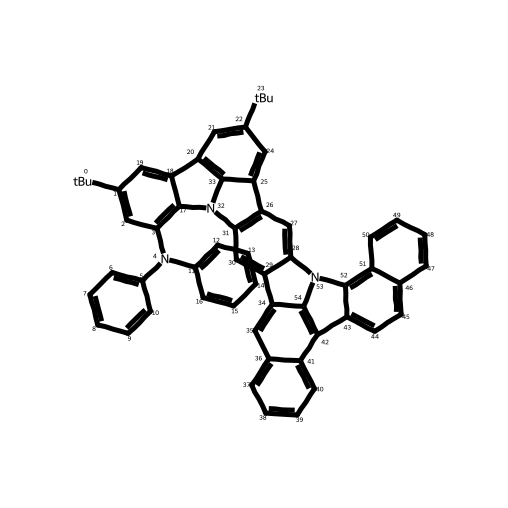 CC(C)(C)c1cc(N(c2ccccc2)c2ccccc2)c2c(c1)c1cc(C(C)(C)C)cc3c4cc5c(cc4n2c31)c1cc2ccccc2c2c3ccc4ccccc4c3n5c12